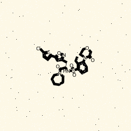 CCc1c(N2CCOCC2=O)cccc1S(=O)(=O)N[C@@H](Cc1cc(-c2ccc(Cl)s2)on1)C(=O)N1CCCCCC1